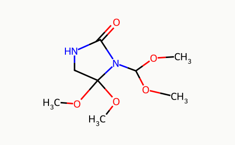 COC(OC)N1C(=O)NCC1(OC)OC